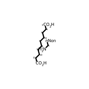 CCCCCCCCCCN.O=C(O)CCCCCCCCC(=O)O